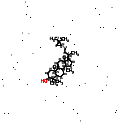 C[C@H](CC[C@@H]1CC1(C)C)[C@H]1CC[C@@]2(C)C3CCC4C(C)(C)[C@H](O)CC[C@@]4(C)C3=CC[C@]12C